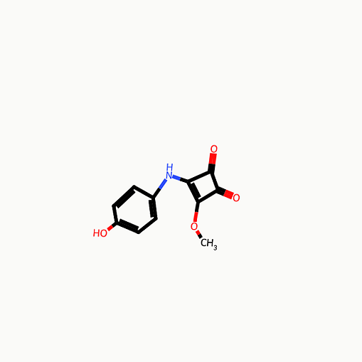 COc1c(Nc2ccc(O)cc2)c(=O)c1=O